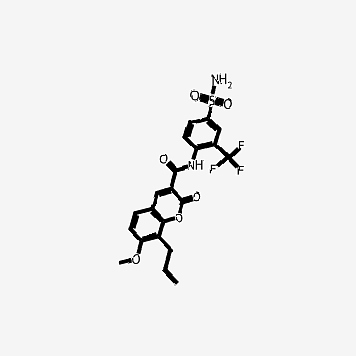 CCCc1c(OC)ccc2cc(C(=O)Nc3ccc(S(N)(=O)=O)cc3C(F)(F)F)c(=O)oc12